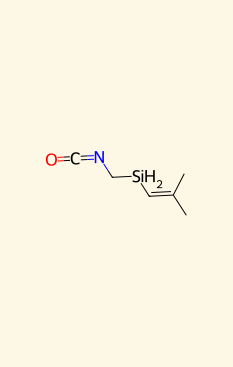 CC(C)=C[SiH2]CN=C=O